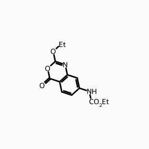 CCOC(=O)Nc1ccc2c(=O)oc(OCC)nc2c1